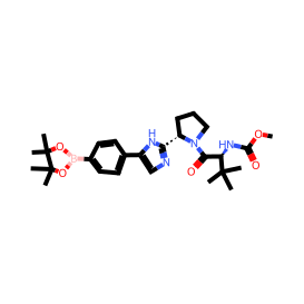 COC(=O)N[C@H](C(=O)N1CCC[C@H]1c1ncc(-c2ccc(B3OC(C)(C)C(C)(C)O3)cc2)[nH]1)C(C)(C)C